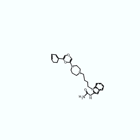 NC(=O)Nc1cc2ccccc2n1CCCCN1CCCN(C2=COC=C(C3=CC=CCC3)O2)CC1